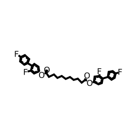 O=C(CCCCCCCCCC(=O)Oc1ccc(-c2ccc(F)cc2)c(F)c1)Oc1ccc(-c2ccc(F)cc2)c(F)c1